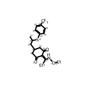 CCONC(CC)=C1C(=O)CC(CC(C)Sc2ccc(C(F)(F)F)cc2)CC1=O